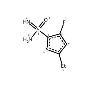 CCc1cc(F)c(S(=N)(N)=O)s1